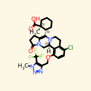 Cn1nnc(COc2ccc(Cl)c3c2[C@H]2CN4C(=O)CCC4=C([C@H]4CCCC[C@]4(C)C(=O)O)N2CC3)c1C(F)(F)F